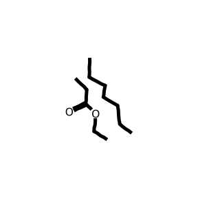 CCCCCCC.CCOC(=O)CC